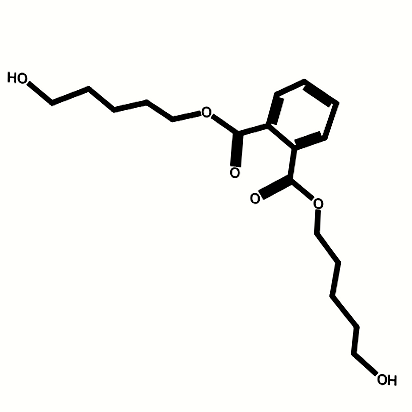 O=C(OCCCCCO)c1ccccc1C(=O)OCCCCCO